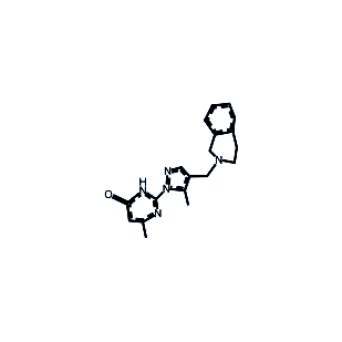 Cc1cc(=O)[nH]c(-n2ncc(CN3CCc4ccccc4C3)c2C)n1